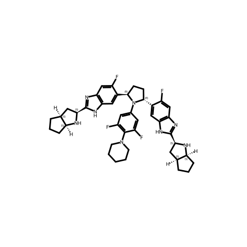 Fc1cc2nc([C@@H]3C[C@@H]4CCC[C@@H]4N3)[nH]c2cc1[C@H]1CC[C@H](c2cc3[nH]c([C@@H]4C[C@@H]5CCC[C@@H]5N4)nc3cc2F)N1c1cc(F)c(N2CCCCC2)c(F)c1